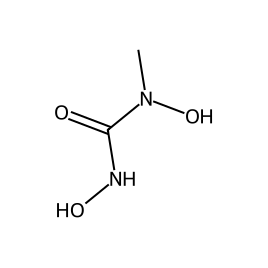 CN(O)C(=O)NO